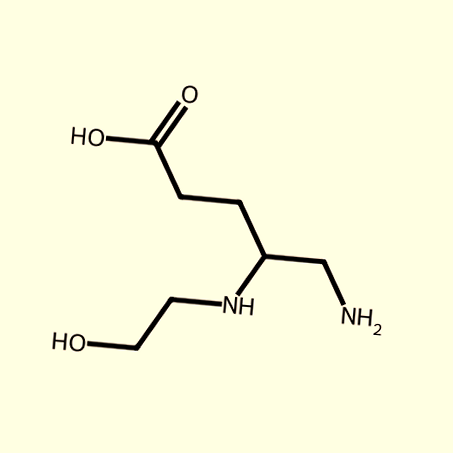 NCC(CCC(=O)O)NCCO